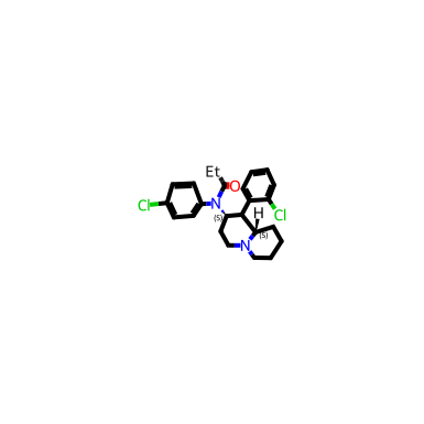 CCC(=O)N(c1ccc(Cl)cc1)[C@H]1CCN2CCCC[C@H]2C1c1ccccc1Cl